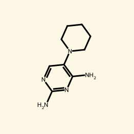 Nc1ncc(N2CCCCC2)c(N)n1